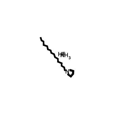 CCCCCCCCCCCCCCCC[n+]1ccccc1.F.N